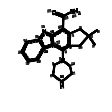 CC1(C)Cc2c(c(N3CCNCC3)n3c(nc4ccccc43)c2C(N)=O)C1